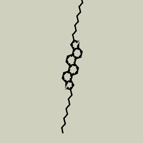 CCCCCCCCCc1cc2c(ccc3c2ccc2c4ccc5sc(CCCCCCCCC)cc5c4ccc32)s1